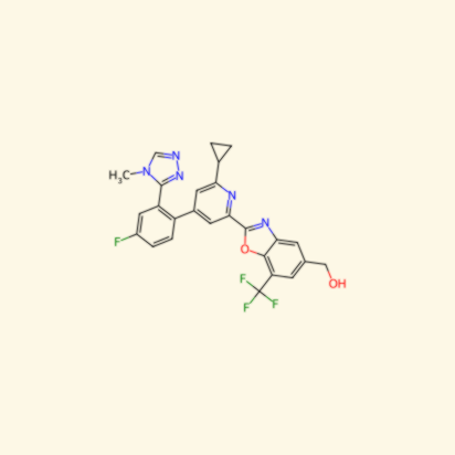 Cn1cnnc1-c1cc(F)ccc1-c1cc(-c2nc3cc(CO)cc(C(F)(F)F)c3o2)nc(C2CC2)c1